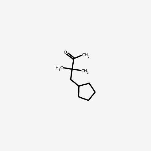 [CH2]C(=O)C(C)(C)CC1CCCC1